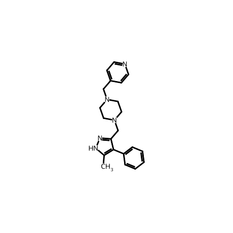 Cc1[nH]nc(CN2CCN(Cc3ccncc3)CC2)c1-c1ccccc1